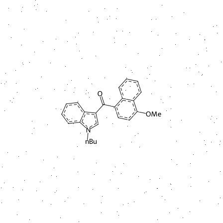 CCCCn1cc(C(=O)c2ccc(OC)c3ccccc23)c2ccccc21